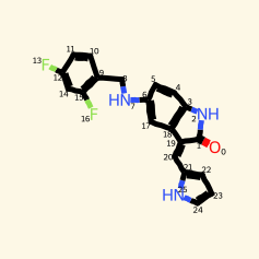 O=C1Nc2ccc(NCc3ccc(F)cc3F)cc2C1=Cc1ccc[nH]1